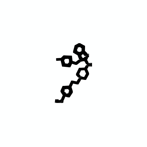 COc1ccc(CCN2CCC(Nc3nc4ccccc4n3Cc3ccc(C)cc3)CC2)cc1